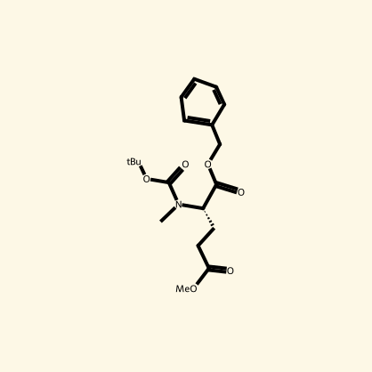 COC(=O)CC[C@@H](C(=O)OCc1ccccc1)N(C)C(=O)OC(C)(C)C